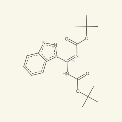 CC(C)(C)OC(=O)/N=C(/NC(=O)OC(C)(C)C)n1nnc2ccccc21